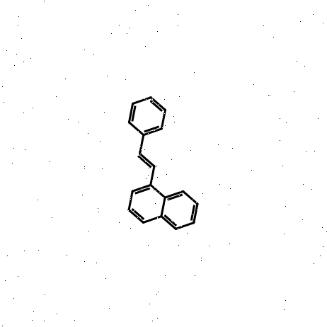 [C](=Cc1ccccc1)c1cccc2ccccc12